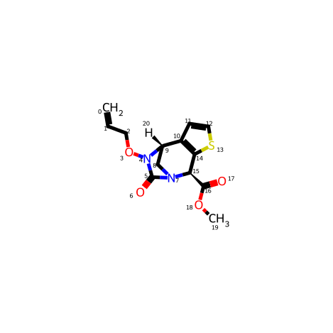 C=CCON1C(=O)N2C[C@H]1c1ccsc1[C@H]2C(=O)OC